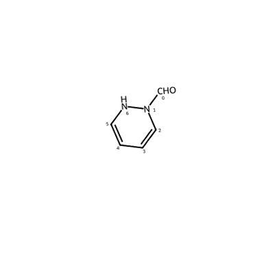 O=CN1C=CC=CN1